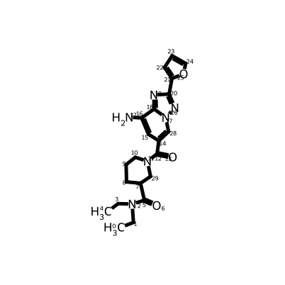 CCN(CC)C(=O)C1CCCN(C(=O)c2cc(N)c3nc(-c4ccco4)nn3c2)C1